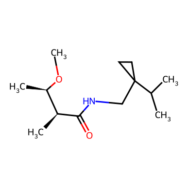 CO[C@H](C)[C@H](C)C(=O)NCC1(C(C)C)CC1